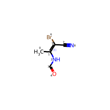 C/C(NC=O)=C(\Br)C#N